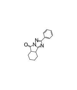 O=C1C2CCCCC2c2nc(-c3ccccc3)nn21